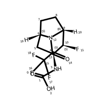 O=C(O)N[C@H]1C[C@@H]2CC[C@H]([C@H]1F)N2C(=O)C(F)(F)F